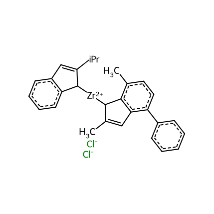 CC1=Cc2c(-c3ccccc3)ccc(C)c2[CH]1[Zr+2][CH]1C(C(C)C)=Cc2ccccc21.[Cl-].[Cl-]